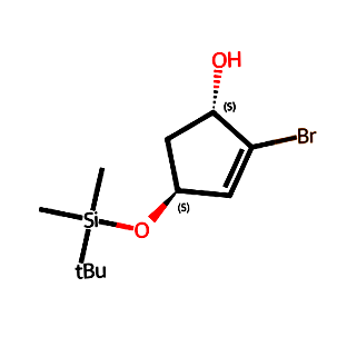 CC(C)(C)[Si](C)(C)O[C@@H]1C=C(Br)[C@@H](O)C1